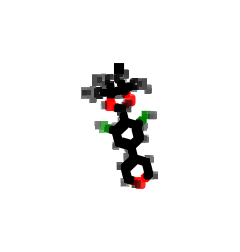 CC1(C)OB(c2c(F)cc(C3=CCOCC3)cc2F)OC1(C)C